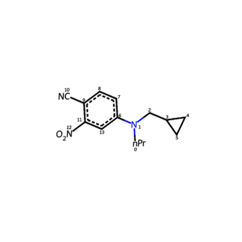 CCCN(CC1CC1)c1ccc(C#N)c([N+](=O)[O-])c1